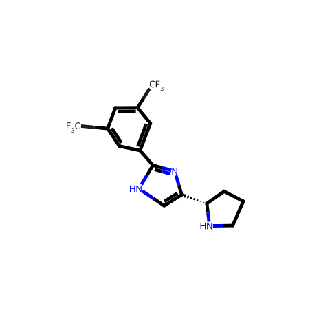 FC(F)(F)c1cc(-c2nc([C@@H]3CCCN3)c[nH]2)cc(C(F)(F)F)c1